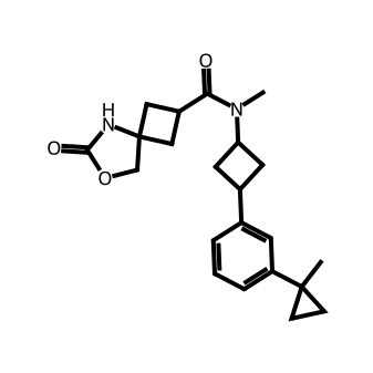 CN(C(=O)C1CC2(COC(=O)N2)C1)C1CC(c2cccc(C3(C)CC3)c2)C1